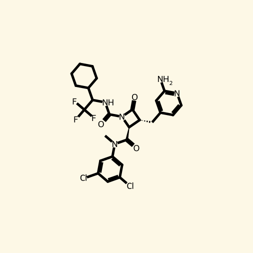 CN(C(=O)[C@@H]1[C@@H](Cc2ccnc(N)c2)C(=O)N1C(=O)NC(C1CCCCC1)C(F)(F)F)c1cc(Cl)cc(Cl)c1